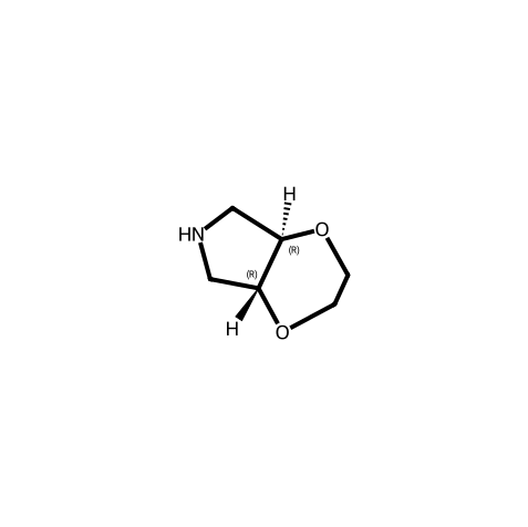 C1CO[C@@H]2CNC[C@H]2O1